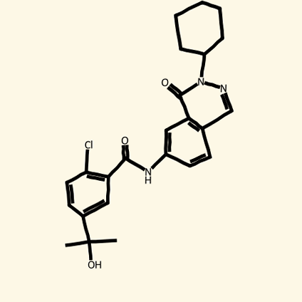 CC(C)(O)c1ccc(Cl)c(C(=O)Nc2ccc3cnn(C4CCCCC4)c(=O)c3c2)c1